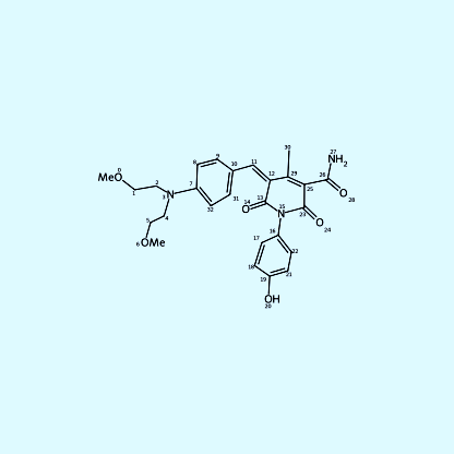 COCCN(CCOC)c1ccc(C=C2C(=O)N(c3ccc(O)cc3)C(=O)C(C(N)=O)=C2C)cc1